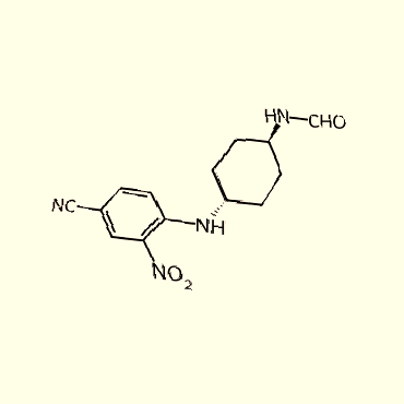 N#Cc1ccc(N[C@H]2CC[C@H](NC=O)CC2)c([N+](=O)[O-])c1